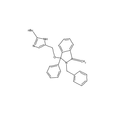 C=C1c2ccccc2C(OCc2cnc(CCCC)[nH]2)(c2ccccc2)N1Cc1ccccc1